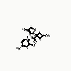 O=C(Nc1ccc(C(F)(F)F)cc1Cl)C1(n2cc(I)cn2)CC(O)C1